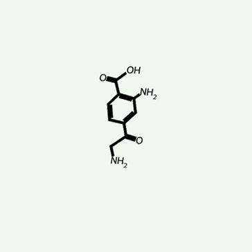 NCC(=O)c1ccc(C(=O)O)c(N)c1